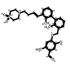 Cc1cc(OCc2cccc(-c3cccc(/C=C/CCN4CCS(=O)(=O)CC4)c3C)c2C)c(Cl)cc1C=O